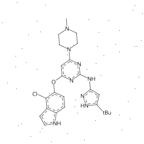 CN1CCN(c2cc(Oc3ccc4[nH]ccc4c3Cl)nc(Nc3cc(C(C)(C)C)[nH]n3)n2)CC1